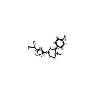 CN1CCN(c2noc(C(F)F)n2)CC1c1ccc(F)cc1